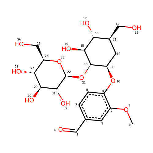 COc1cc(C=O)ccc1O[C@@H]1C[C@H](CO)[C@@H](O)[C@H](O)[C@H]1O[C@@H]1O[C@H](CO)[C@@H](O)[C@H](O)[C@H]1O